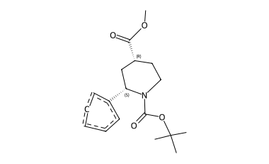 COC(=O)[C@@H]1CCN(C(=O)OC(C)(C)C)[C@H](c2ccccc2)C1